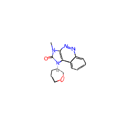 Cn1c(=O)n([C@H]2CCCOC2)c2c3ccccc3nnc21